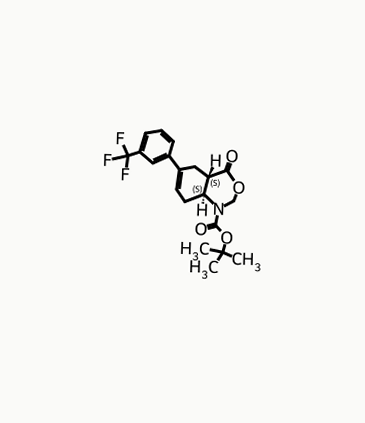 CC(C)(C)OC(=O)N1COC(=O)[C@H]2CC(c3cccc(C(F)(F)F)c3)=CC[C@@H]21